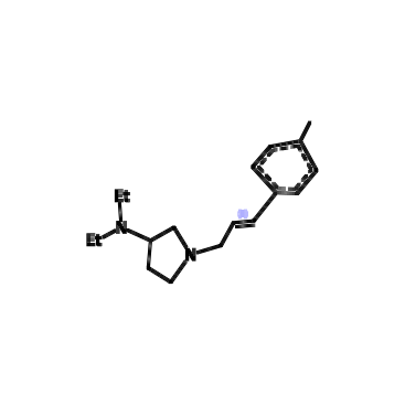 CCN(CC)C1CCN(C/C=C/c2ccc(C)cc2)C1